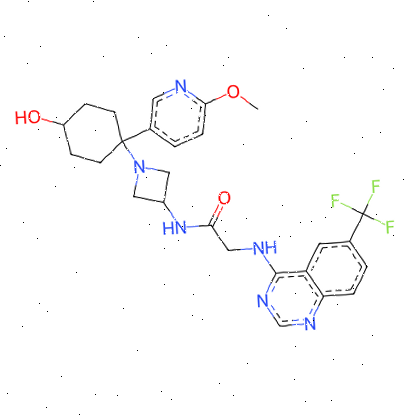 COc1ccc(C2(N3CC(NC(=O)CNc4ncnc5ccc(C(F)(F)F)cc45)C3)CCC(O)CC2)cn1